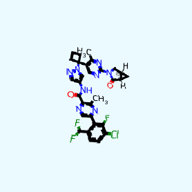 Cc1nc(N2C[C@H]3C[C@H]3C2=O)ncc1C1(n2cc(NC(=O)c3ncc(-c4c(C(F)F)ccc(Cl)c4F)nc3C)cn2)CCC1